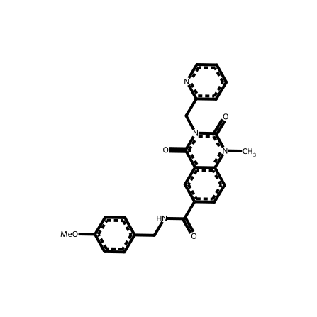 COc1ccc(CNC(=O)c2ccc3c(c2)c(=O)n(Cc2ccccn2)c(=O)n3C)cc1